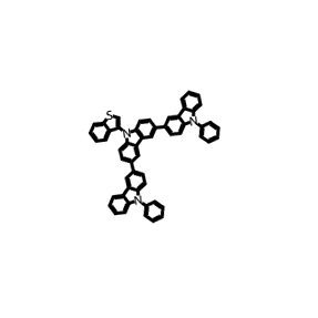 c1ccc(-n2c3ccccc3c3cc(-c4ccc5c(c4)c4cc(-c6ccc7c(c6)c6ccccc6n7-c6ccccc6)ccc4n5-c4csc5ccccc45)ccc32)cc1